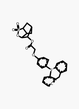 O=C(COc1ccc([S+]2c3ccccc3Cc3ccccc32)cc1)OC1C2CC3C1OS(=O)(=O)C3C2